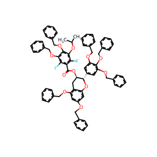 CC(C)Oc1c(F)c(C(=O)O[C@@H]2Cc3c(OCc4ccccc4)cc(OCc4ccccc4)cc3O[C@H]2c2cc(OCc3ccccc3)c(OCc3ccccc3)c(OCc3ccccc3)c2)c(F)c(OCc2ccccc2)c1OCc1ccccc1